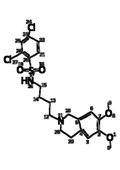 COc1cc2c(cc1OC)CN(CCCCNS(=O)(=O)c1ccc(Cl)cc1Cl)CC2